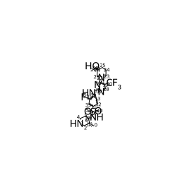 C[C@H]1CNCC[C@H]1NS(=O)(=O)c1ccc(Nc2ncc(C(F)(F)F)c(N3CCC[C@](C)(O)C3)n2)c(F)c1